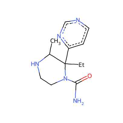 CCC1(c2ccncn2)C(C)NCCN1C(N)=O